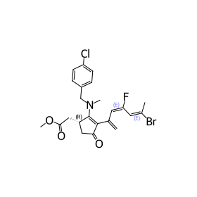 C=C(/C=C(F)\C=C(/C)Br)C1=C(N(C)Cc2ccc(Cl)cc2)[C@@H](CC(=O)OC)CC1=O